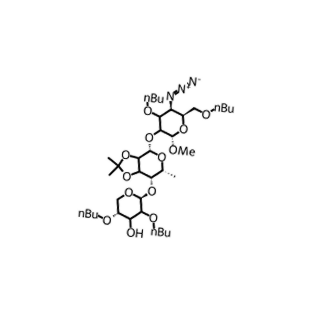 CCCCOC[C@H]1O[C@H](OC)C(O[C@@H]2O[C@H](C)[C@H](O[C@@H]3OC[C@@H](OCCCC)C(O)C3OCCCC)C3OC(C)(C)OC32)C(OCCCC)[C@H]1N=[N+]=[N-]